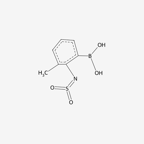 Cc1cccc(B(O)O)c1N=S(=O)=O